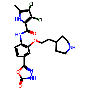 Cc1[nH]c(C(=O)Nc2ccc(-c3n[nH]c(=O)o3)cc2OCCC2CCNCC2)c(Cl)c1Cl